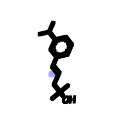 CC(C)c1cccc(/C=C/CC(C)(C)O)c1